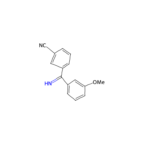 COc1cccc(C(=N)c2cccc(C#N)c2)c1